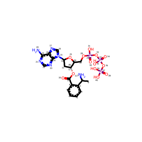 CC(N)c1ccccc1C(=O)O[C@@H]1CC(n2cnc3c(N)ncnc32)OC1COP(=O)(O)OP(=O)(O)OP(=O)(O)O